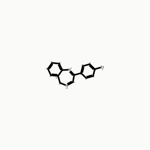 CCc1ccc(C2=Nc3ccccc3CN=C2)cc1